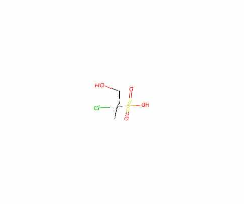 CC(Cl)(CO)S(=O)(=O)O